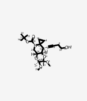 CO[C@@]1(C)O[C@@H]2[C@@H](C#CCCO)C3(CC3)N(C(=O)OC(C)(C)C)C[C@H]2O[C@]1(C)OC